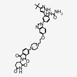 CC(C)(C)c1cc(-c2cc(-n3cnc4cc(OCCN5CCN(c6ccc7c(c6)C(=O)N(C6CCC(=O)NC6=O)C7=O)CC5)ccc43)ccc2NC(N)=O)[nH]n1